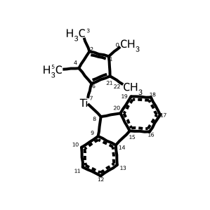 CC1=C(C)C(C)[C]([Ti][CH]2c3ccccc3-c3ccccc32)=C1C